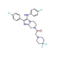 O=C(CN1CCC(F)(F)CC1)N1CCn2c(nc(-c3ccc(F)cc3)c2Nc2ccc(F)cc2)C1